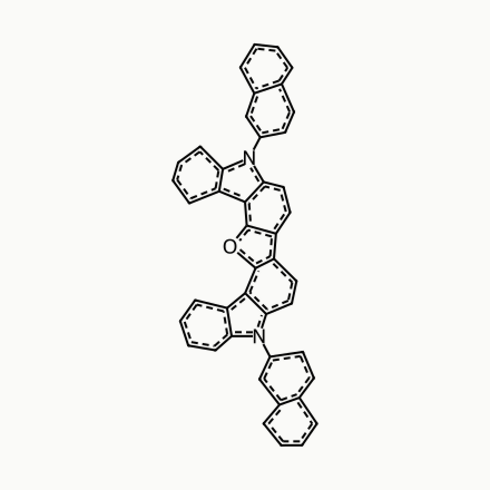 c1ccc2cc(-n3c4ccccc4c4c5oc6c(ccc7c6c6ccccc6n7-c6ccc7ccccc7c6)c5ccc43)ccc2c1